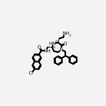 NCC[C@@H]1N[C@H](CNC(=O)c2ccc3cc(Cl)ccc3c2)CCN(CC(c2ccccc2)c2ccccc2)C1=O